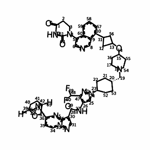 O=C1CCN(c2cncc3c(C4CC(OC5CCN(C[C@H]6CC[C@H](n7cc(NC(=O)c8cnn9ccc(N%10C[C@H]%11CC[C@@H]%10CO%11)nc89)c(C(F)F)n7)CC6)CC5)C4)cccc23)C(=O)N1